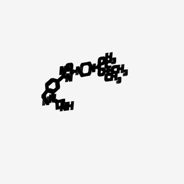 CC(C)(C)OC(=O)N1CCN(c2nc(-c3ccc4cnn(C5CNC5)c4c3)no2)CC1